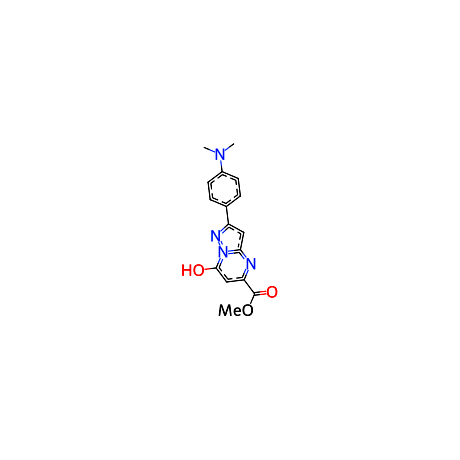 COC(=O)c1cc(O)n2nc(-c3ccc(N(C)C)cc3)cc2n1